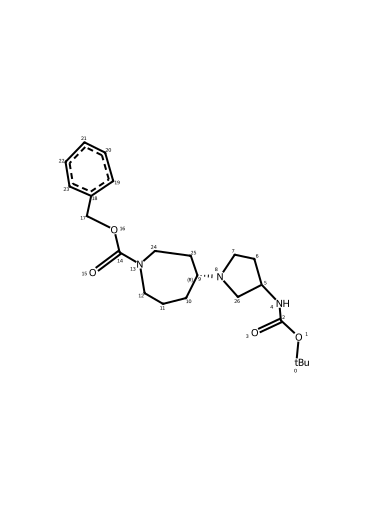 CC(C)(C)OC(=O)NC1CCN([C@@H]2CCCN(C(=O)OCc3ccccc3)CC2)C1